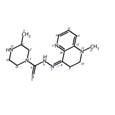 CC1CN(C(=S)N/N=C2/CCN(C)c3cccnc32)CCN1